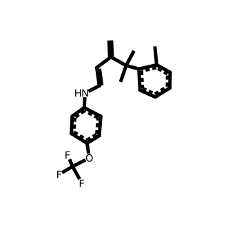 C=C(C=CNc1ccc(OC(F)(F)F)cc1)C(C)(C)c1ccccc1C